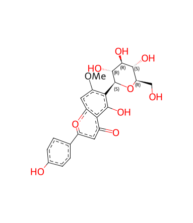 COc1cc2oc(-c3ccc(O)cc3)cc(=O)c2c(O)c1[C@@H]1O[C@H](CO)[C@@H](O)[C@H](O)[C@H]1O